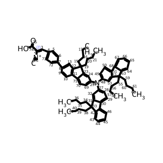 [C-]#[N+]/C(=C\c1ccc(-c2ccc3c(c2)C(CCCC)(CCCC)c2cc(N(c4ccc5c(c4)C(CCCC)(CCCC)c4ccccc4-5)c4ccc5c(c4)C(CCCC)(CCCC)c4ccccc4-5)ccc2-3)cc1)C(=O)O